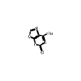 CC(C)(C)c1nc(=O)oc2ocnc12